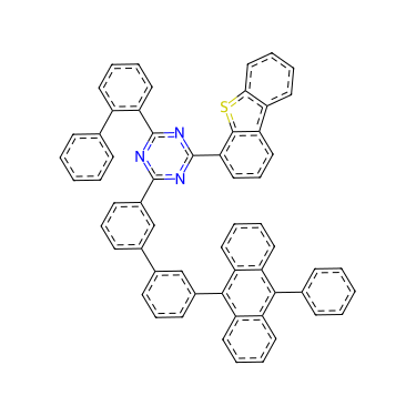 c1ccc(-c2ccccc2-c2nc(-c3cccc(-c4cccc(-c5c6ccccc6c(-c6ccccc6)c6ccccc56)c4)c3)nc(-c3cccc4c3sc3ccccc34)n2)cc1